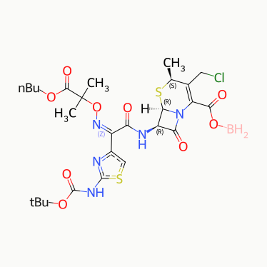 BOC(=O)C1=C(CCl)[C@H](C)S[C@@H]2[C@H](NC(=O)/C(=N\OC(C)(C)C(=O)OCCCC)c3csc(NC(=O)OC(C)(C)C)n3)C(=O)N12